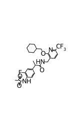 CC(C(=O)NCc1ccc(C(F)(F)F)nc1OCC1CCCCC1)c1ccc(NS(C)(=O)=O)c(F)c1